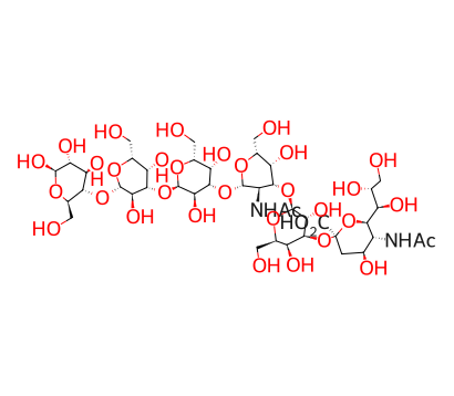 CC(=O)N[C@H]1[C@H](O[C@H]2[C@@H](O)[C@@H](CO)O[C@H](O[C@H]3[C@@H](O)[C@@H](CO)O[C@@H](O[C@H]4[C@H](O)[C@@H](O)[C@H](O)O[C@@H]4CO)[C@@H]3O)[C@@H]2O)O[C@H](CO)[C@H](O)[C@@H]1O[C@@H]1O[C@H](CO)[C@H](O)[C@H](O[C@]2(C(=O)O)C[C@H](O)[C@@H](NC(C)=O)[C@H]([C@H](O)[C@H](O)CO)O2)[C@H]1O